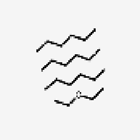 CCCCCC.CCCCCC.CCCCCC.CCOCC